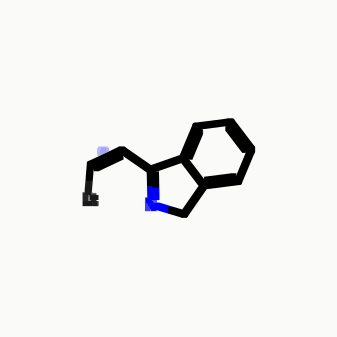 CC/C=C\C1=NCc2ccccc21